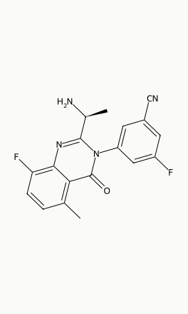 Cc1ccc(F)c2nc([C@H](C)N)n(-c3cc(F)cc(C#N)c3)c(=O)c12